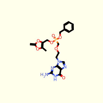 C=C1OC(C)=C(COP(=O)(COCCn2cnc3c(=O)[nH]c(N)nc32)OCc2ccccc2)O1